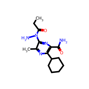 CCC(=O)N(N)c1nc(C(N)=O)c(C2CCCCC2)nc1C